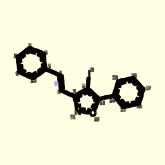 Ic1c(/C=C/c2ccccc2)noc1-c1ccccc1